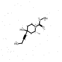 C[C@@H]1CC(O)(C#CCO)CCN1C(=O)OC(C)(C)C